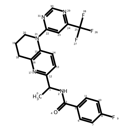 CC(NC(=O)c1ccc(F)cc1)c1ccc2c(n1)CCCN2c1cc(C(F)(F)F)ncn1